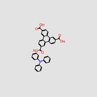 O=C(O)c1ccc2c(c1)c1ccc(C(=O)O)cc1c1ccc(C(=O)O)cc21.c1ccc(N(c2ccccc2)c2ccccc2)cc1